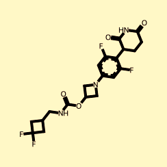 O=C1CCC(c2c(F)cc(N3CC(OC(=O)NCC4CC(F)(F)C4)C3)cc2F)C(=O)N1